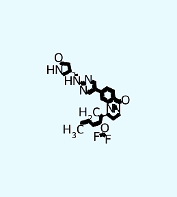 C=C(/C(=C\C=C/C)OC(F)F)[C@@H]1CCn2c(=O)c3ccc(-c4cnc(NC[C@@H]5CNC(=O)C5)nc4)cc3n21